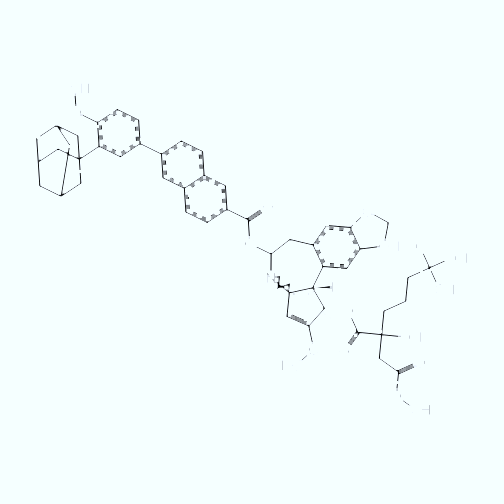 COC(=O)CC(O)(CCCC(C)(C)O)C(=O)O[C@@H]1C(OC)=C[C@]23CCCN2C(OC(=O)c2ccc4cc(-c5ccc(OC)c(C67CC8CC(CC(C8)C6)C7)c5)ccc4c2)Cc2cc4c(cc2[C@H]13)OCO4